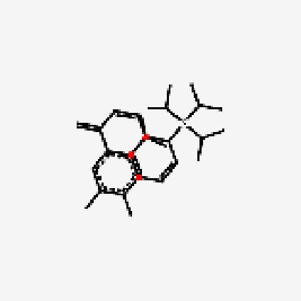 C=C(/C=C\C1C(C)=CC=CC1S(C(C)C)(C(C)C)C(C)C)c1cc(C)c(C)cc1C(C)C